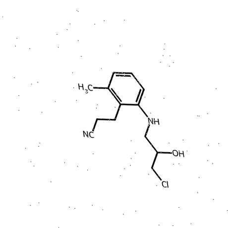 Cc1cccc(NCC(O)CCl)c1CCC#N